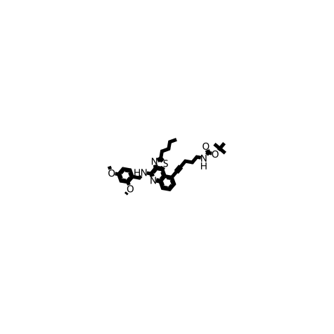 CCCCc1nc2c(NCc3ccc(OC)cc3OC)nc3cccc(C#CCCCNC(=O)OC(C)(C)C)c3c2s1